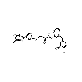 Cc1nc(C2=CSC(SCC(=O)NC[C@H]3CN(CC4C=C(Cl)C(Cl)=CC4)CCO3)N2)no1